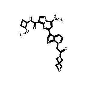 CNc1cc(-c2cnc3n(CC(=O)N4CC5(COC5)C4)cccc2-3)nc2c(C(=O)NC3CC[C@@H]3OC)cnn12